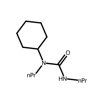 CCCNC(=O)N(CCC)C1CCCCC1